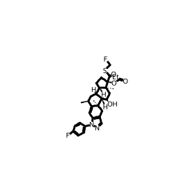 CCC(=O)O[C@]1(C(=O)SCF)CC[C@H]2[C@@H]3C[C@H](C)C4=Cc5c(cnn5-c5ccc(F)cc5)C[C@]4(C)[C@H]3[C@@H](O)C[C@@]21C